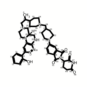 CC(CN1CCN2c3cc(-c4ccccc4O)nnc3NC[C@H]2C1)C1CCN(CC2CCN(c3ccc4c(c3)C(=O)N(C3CCC(=O)NC3=O)C4=O)CC2)CC1